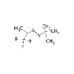 CC(SSC(C)(C)C)C(F)(F)F